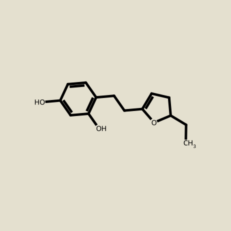 CCC1CC=C(CCc2ccc(O)cc2O)O1